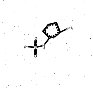 CC(C)S(=O)(=O)Nc1cccc(P)c1